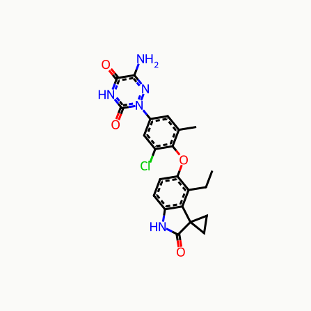 CCc1c(Oc2c(C)cc(-n3nc(N)c(=O)[nH]c3=O)cc2Cl)ccc2c1C1(CC1)C(=O)N2